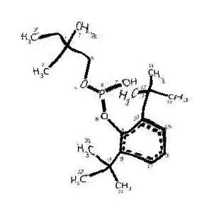 CC(C)(C)COP(O)Oc1c(C(C)(C)C)cccc1C(C)(C)C